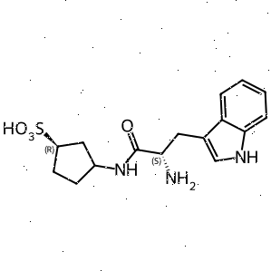 N[C@@H](Cc1c[nH]c2ccccc12)C(=O)NC1CC[C@@H](S(=O)(=O)O)C1